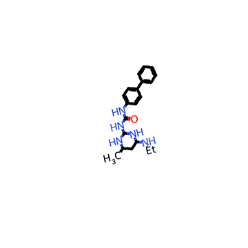 CCNC1CC(C)NC(NC(=O)Nc2ccc(-c3ccccc3)cc2)N1